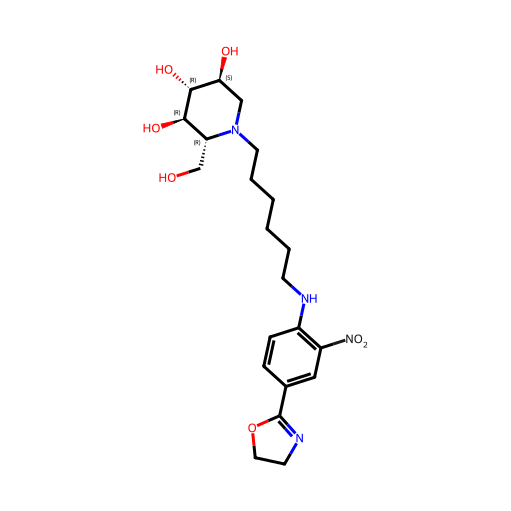 O=[N+]([O-])c1cc(C2=NCCO2)ccc1NCCCCCCN1C[C@H](O)[C@@H](O)[C@H](O)[C@H]1CO